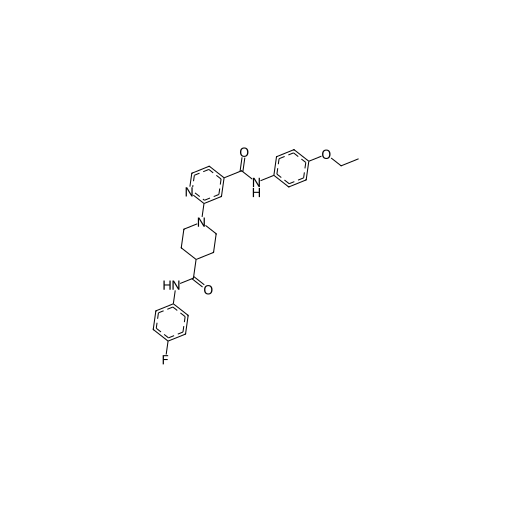 CCOc1ccc(NC(=O)c2ccnc(N3CCC(C(=O)Nc4ccc(F)cc4)CC3)c2)cc1